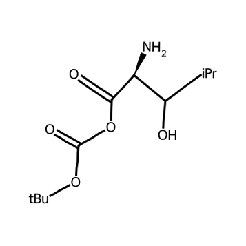 CC(C)C(O)[C@H](N)C(=O)OC(=O)OC(C)(C)C